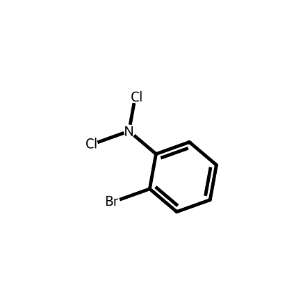 ClN(Cl)c1ccccc1Br